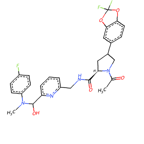 CC(=O)N1CC(c2ccc3c(c2)OC(F)(F)O3)C[C@@H]1C(=O)NCc1cccc(C(O)N(C)c2ccc(F)cc2)n1